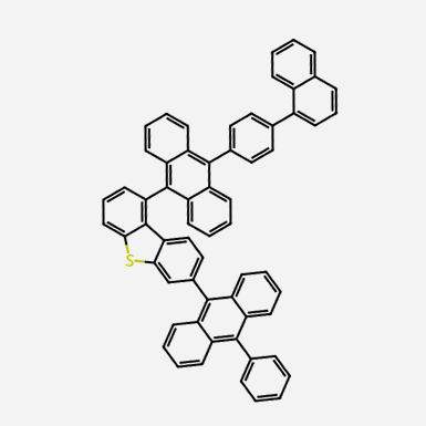 c1ccc(-c2c3ccccc3c(-c3ccc4c(c3)sc3cccc(-c5c6ccccc6c(-c6ccc(-c7cccc8ccccc78)cc6)c6ccccc56)c34)c3ccccc23)cc1